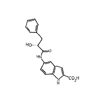 O=C(O)c1cc2cc(NC(=O)[C@H](O)Cc3ccccc3)ccc2[nH]1